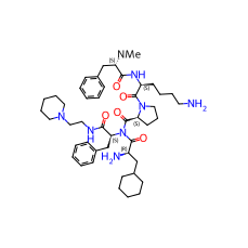 CN[C@@H](Cc1ccccc1)C(=O)N[C@@H](CCCCN)C(=O)N1CCC[C@H]1C(=O)N(C(=O)[C@H](N)CC1CCCCC1)[C@@H](Cc1ccccc1)C(=O)NCCN1CCCCC1